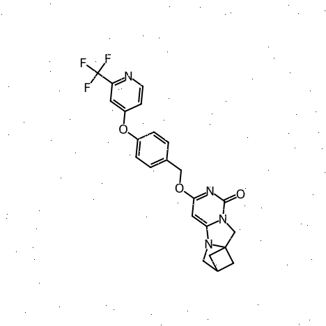 O=c1nc(OCc2ccc(Oc3ccnc(C(F)(F)F)c3)cc2)cc2n1CC13CC(CN21)C3